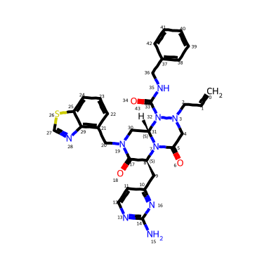 C=CCN1CC(=O)N2[C@@H](Cc3ccnc(N)n3)C(=O)N(Cc3cccc4scnc34)C[C@@H]2N1C(=O)NCc1ccccc1